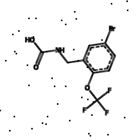 O=C(O)NCc1cc(Br)ccc1OC(F)(F)F